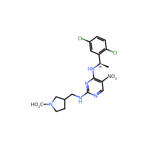 C[C@@H](Nc1nc(NCC2CCN(C(=O)O)C2)ncc1[N+](=O)[O-])c1cc(Cl)ccc1Cl